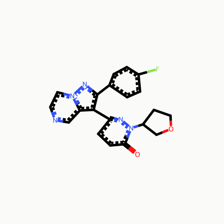 O=c1ccc(-c2c(-c3ccc(F)cc3)nn3ccncc23)nn1C1CCOC1